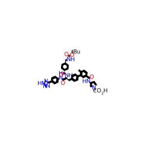 Cc1ccc(C(=O)N[C@@H]2CCN(C(=O)O)C2)cc1-c1ccc(C[C@H](NC(=O)[C@H]2CC[C@H](CNC(=O)OC(C)(C)C)CC2)C(=O)Nc2ccc(-c3nn[nH]n3)cc2)cc1